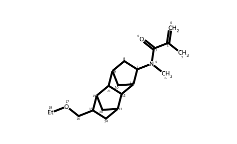 C=C(C)C(=O)N(C)C1CC2CC1C1C3CC(COCC)C(C3)C21